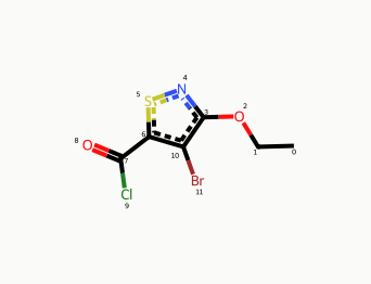 CCOc1nsc(C(=O)Cl)c1Br